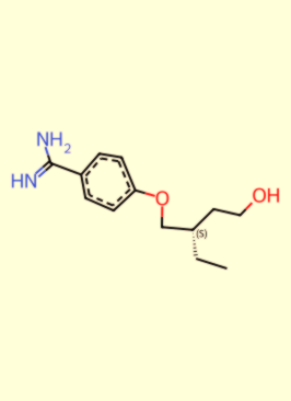 CC[C@@H](CCO)COc1ccc(C(=N)N)cc1